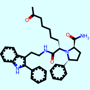 CC(=O)CCCCC[C@@H](C(=O)NCCc1c(-c2ccccc2)[nH]c2ccccc12)N1[C@@H](C(N)=O)CC[C@@H]1c1ccccc1